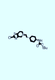 CC(C)(C)OC(=O)N[C@H]1CC[C@H](CCN2CCc3sc(Cl)nc3C2)CC1